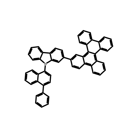 c1ccc(-c2ccc(-n3c4ccccc4c4ccc(-c5ccc6c7ccccc7c7c8ccccc8c8ccccc8c7c6c5)cc43)c3ccccc23)cc1